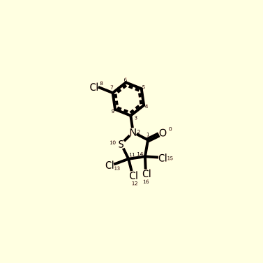 O=C1N(c2cccc(Cl)c2)SC(Cl)(Cl)C1(Cl)Cl